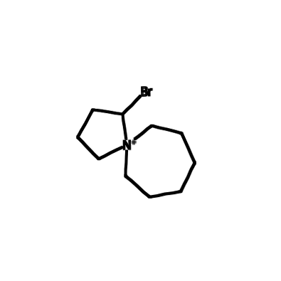 BrC1CCC[N+]12CCCCCC2